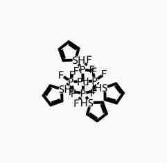 F[P](F)(F)([SH]1C=CC=C1)[Pd]([P](F)(F)(F)[SH]1C=CC=C1)([P](F)(F)(F)[SH]1C=CC=C1)[P](F)(F)(F)[SH]1C=CC=C1